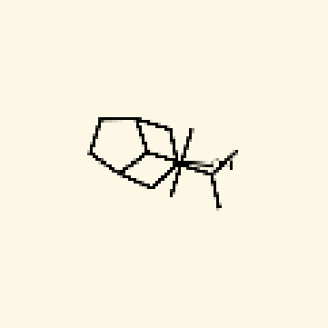 CC(C)C1CC2CCC(C1)C2C(C)(C)O